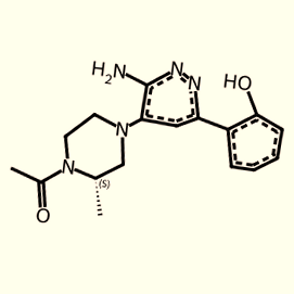 CC(=O)N1CCN(c2cc(-c3ccccc3O)nnc2N)C[C@@H]1C